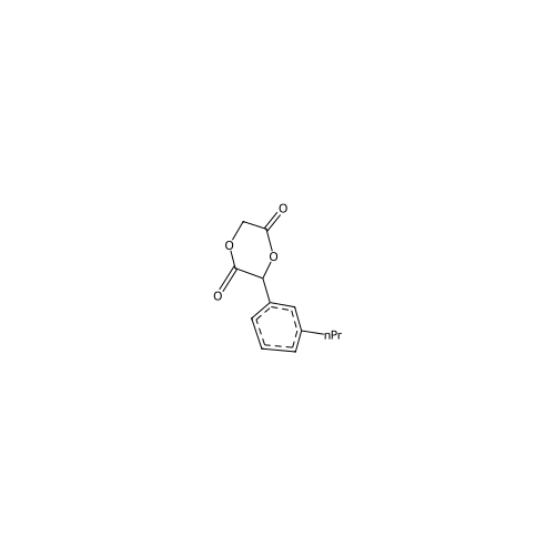 CCCc1cccc(C2OC(=O)COC2=O)c1